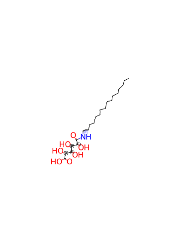 CCCCCCCCCCCCCC/C=C/NC(=O)[C@@H](O)[C@H](O)[C@@H](O)[C@@H](O)C(=O)O